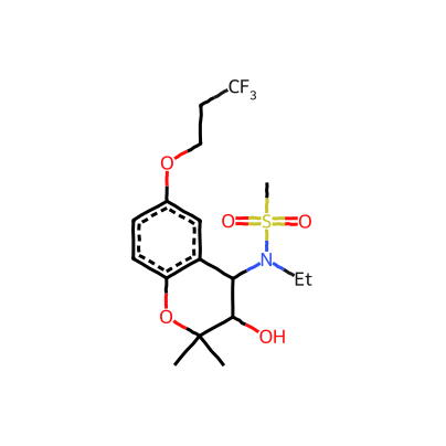 CCN(C1c2cc(OCCC(F)(F)F)ccc2OC(C)(C)C1O)S(C)(=O)=O